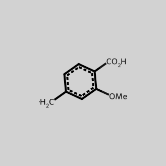 [CH2]c1ccc(C(=O)O)c(OC)c1